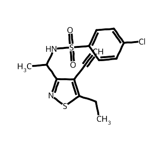 C#Cc1c(C(C)NS(=O)(=O)c2ccc(Cl)cc2)nsc1CC